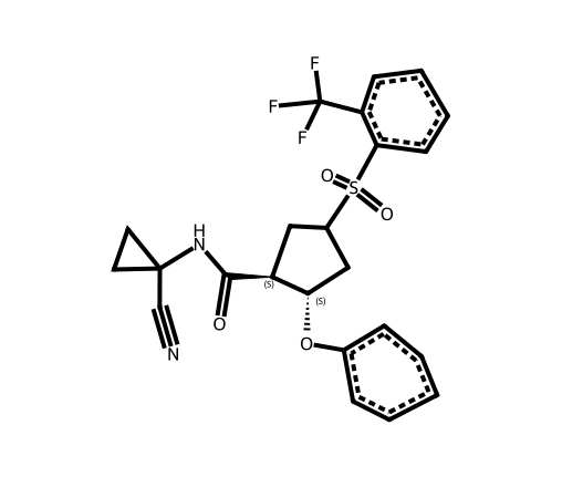 N#CC1(NC(=O)[C@H]2CC(S(=O)(=O)c3ccccc3C(F)(F)F)C[C@@H]2Oc2ccccc2)CC1